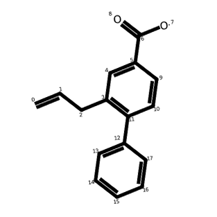 C=CCc1cc(C([O])=O)ccc1-c1ccccc1